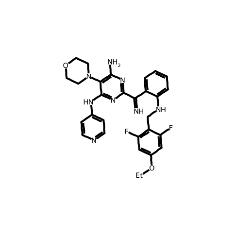 CCOc1cc(F)c(CNc2ccccc2C(=N)c2nc(N)c(N3CCOCC3)c(Nc3ccncc3)n2)c(F)c1